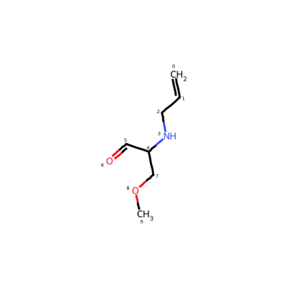 C=CCNC(C=O)COC